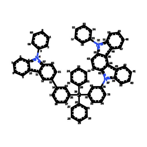 c1ccc(-n2c3ccccc3c3cc(-c4cccc([Si](c5ccccc5)(c5ccccc5)c5cccc(-n6c7ccccc7c7c8c9ccccc9n(-c9ccccc9)c8ccc76)c5)c4)ccc32)cc1